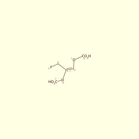 O=C(O)O/C=C(\CF)OC(=O)O